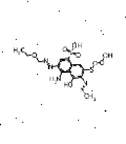 CCOCN=Nc1cc(S(=O)(=O)O)c2cc(SOOO)c(N=NC)c(O)c2c1N